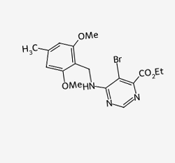 CCOC(=O)c1ncnc(NCc2c(OC)cc(C)cc2OC)c1Br